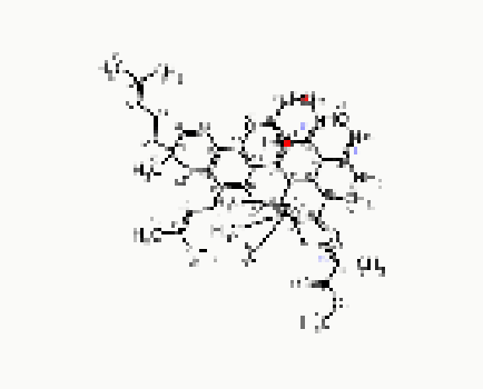 COC(=O)/C(C)=C\CC12OC(C)(C)C(C)C13Oc1c(CC=C(C)C)c4c(c(OC(=O)CCl)c1C(=O)C3C(C(/C(N)=N/O)/C(N)=N\O)C(C)C2=O)C=CC(C)(CCC=C(C)C)O4